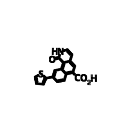 O=C(O)c1cc2cc[nH]c(=O)c2c2cc(-c3cccs3)ccc12